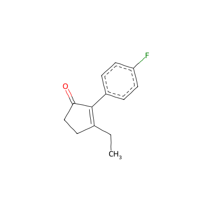 CCC1=C(c2ccc(F)cc2)C(=O)CC1